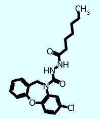 CCCCCCC(=O)NNC(=O)N1Cc2ccccc2Oc2ccc(Cl)cc21